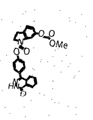 COC(=O)COc1ccc2c(c1)N(C(=O)Oc1ccc(-c3n[nH]c(=O)c4ccccc34)cc1)CC2